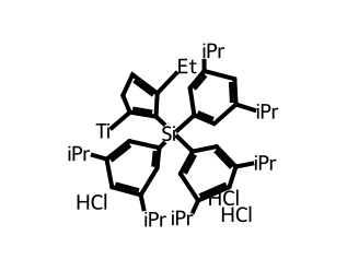 CCC1=CC[C]([Ti])=C1[Si](c1cc(C(C)C)cc(C(C)C)c1)(c1cc(C(C)C)cc(C(C)C)c1)c1cc(C(C)C)cc(C(C)C)c1.Cl.Cl.Cl